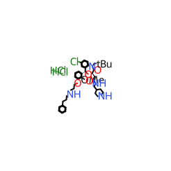 COc1c(OCCCNCCCc2ccccc2)cccc1[C@H]1O[C@H](CC(=O)NCC2CCNCC2)C(=O)N(CC(C)(C)C)c2ccc(Cl)cc21.Cl.Cl